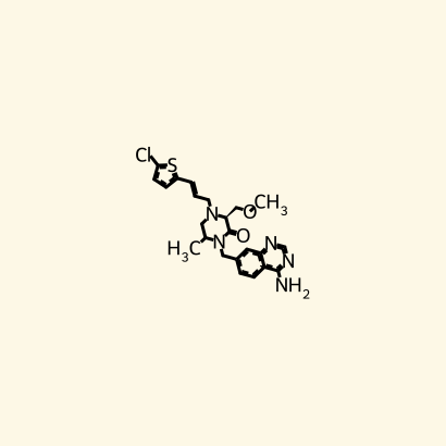 COC[C@H]1C(=O)N(Cc2ccc3c(N)ncnc3c2)C(C)CN1CC=Cc1ccc(Cl)s1